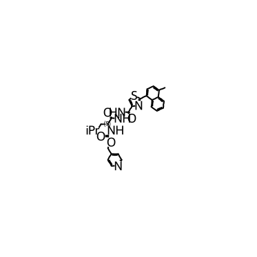 Cc1ccc(-c2nc(C(=O)NNC(=O)[C@H](CC(C)C)NC(=O)OCc3ccncc3)cs2)c2ccccc12